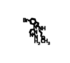 COCCCNc1cc2ccc(Br)cc2n1-c1ccnc(N)n1